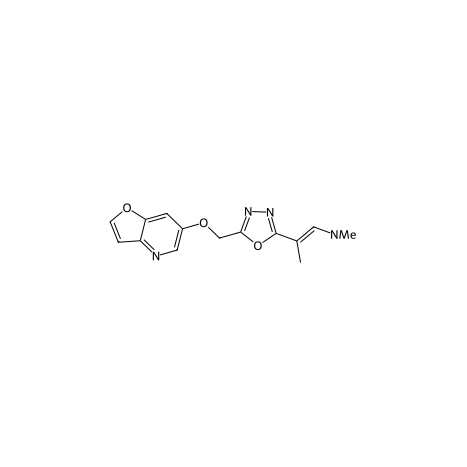 CN/C=C(\C)c1nnc(COc2cnc3ccoc3c2)o1